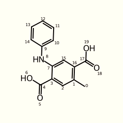 Cc1cc(C(=O)O)c(Nc2ccccc2)cc1C(=O)O